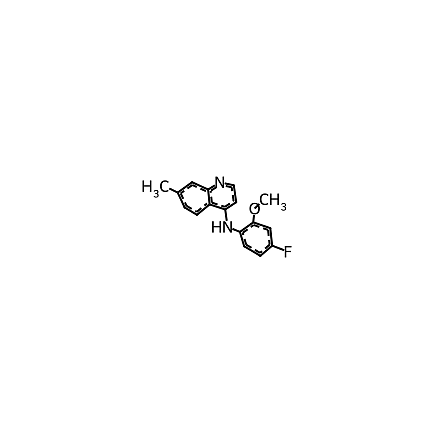 COc1cc(F)ccc1Nc1ccnc2cc(C)ccc12